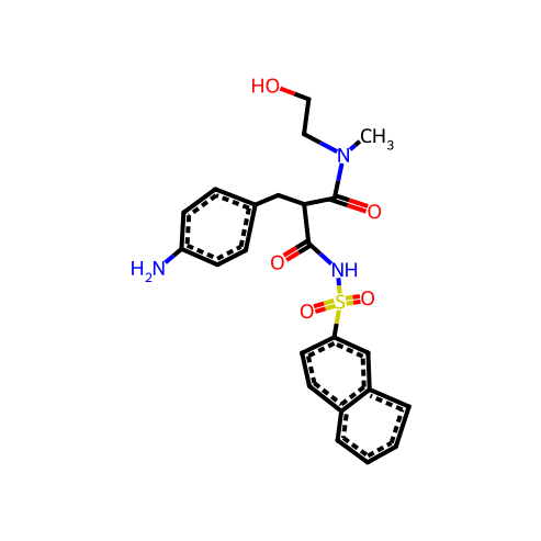 CN(CCO)C(=O)C(Cc1ccc(N)cc1)C(=O)NS(=O)(=O)c1ccc2ccccc2c1